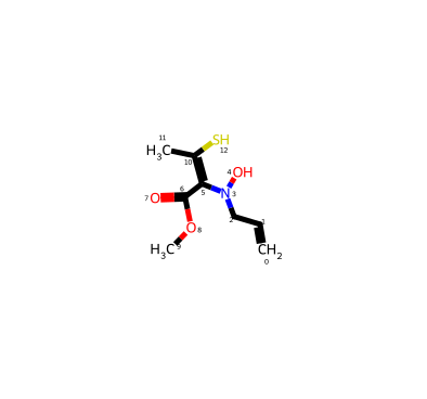 C=CCN(O)/C(C(=O)OC)=C(/C)S